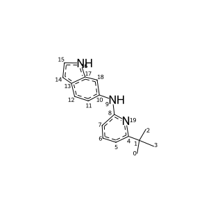 CC(C)(C)c1cccc(Nc2ccc3cc[nH]c3c2)n1